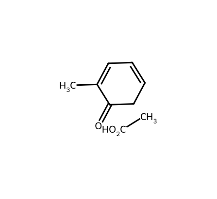 CC(=O)O.CC1=CC=CCC1=O